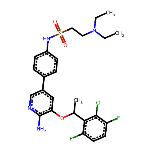 CCN(CC)CCS(=O)(=O)Nc1ccc(-c2cnc(N)c(OC(C)c3c(F)ccc(F)c3Cl)c2)cc1